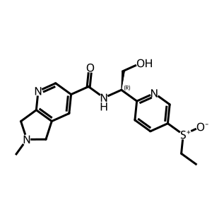 CC[S+]([O-])c1ccc([C@H](CO)NC(=O)c2cnc3c(c2)CN(C)C3)nc1